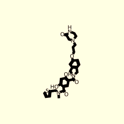 CN(Cc1cccs1)C(=O)c1cc(C(=O)N2Cc3ccc(OCCCN4CCNC(=O)C4)cc3C2)c(O)cc1O